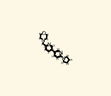 c1cc(CN2CCOCC2)ncc1-c1ccc(N2CCCC2)nc1